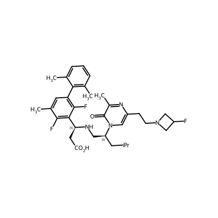 Cc1cc(-c2c(C)cccc2C)c(F)c([C@H](CC(=O)O)NC[C@H](CC(C)C)n2cc(CCN3CC(F)C3)nc(C)c2=O)c1F